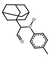 Cc1ccc([S+]([O-])C(C=O)C23CC4CC(CC(C4)C2)C3)cc1